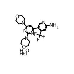 Cl.Nc1cc(C(F)(F)F)c(-c2cc(N3CCOCC3)nc(N3CCOCC3)n2)cn1.O